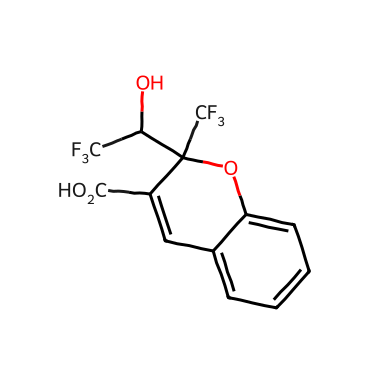 O=C(O)C1=Cc2ccccc2OC1(C(O)C(F)(F)F)C(F)(F)F